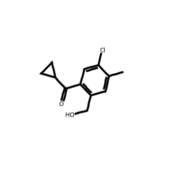 Cc1cc(CO)c(C(=O)C2CC2)cc1Cl